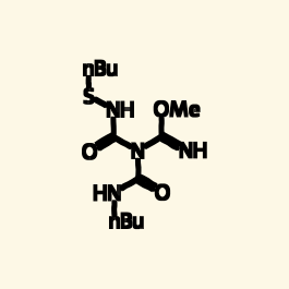 CCCCNC(=O)N(C(=N)OC)C(=O)NSCCCC